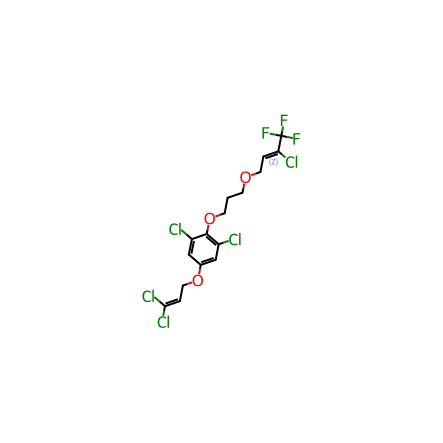 FC(F)(F)/C(Cl)=C/COCCCOc1c(Cl)cc(OCC=C(Cl)Cl)cc1Cl